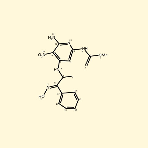 COC(=O)Nc1cc(NC(C)/C(=N/O)c2ccccc2)c([N+](=O)[O-])c(N)n1